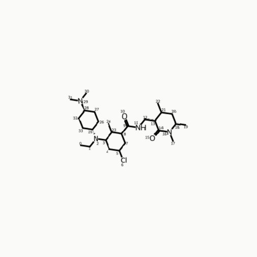 CCN(C1CC(Cl)CC(C(=O)NCC2C(=O)N(C)C(C)CC2C)C1C)[C@H]1CC[C@H](N(C)C)CC1